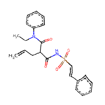 C=CCC(C(=O)NS(=O)(=O)C=Cc1ccccc1)C(=O)N(CC)c1ccccc1